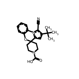 CC(C)(C)c1cc2n(c1C#N)-c1ccccc1OC21CCN(C(=O)O)CC1